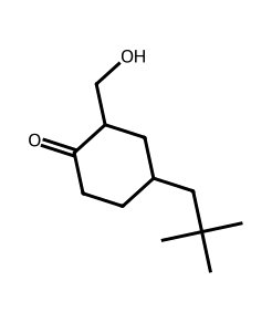 CC(C)(C)CC1CCC(=O)C(CO)C1